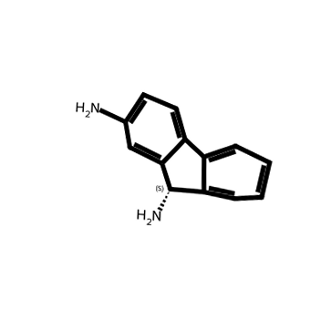 Nc1ccc2c(c1)[C@@H](N)c1ccccc1-2